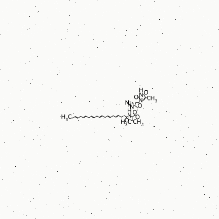 CCC=CCC=CCC=CCC=CCC=CCC=CCCC(=O)NC(C(=O)OC[C@H]1O[C@H](n2cc(C)c(=O)[nH]c2=O)C[C@@H]1N=[N+]=[N-])C(C)C